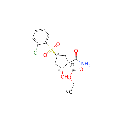 N#CCOC(=O)[C@@]1(C(N)=O)C[C@H](S(=O)(=O)c2ccccc2Cl)C[C@@H]1O